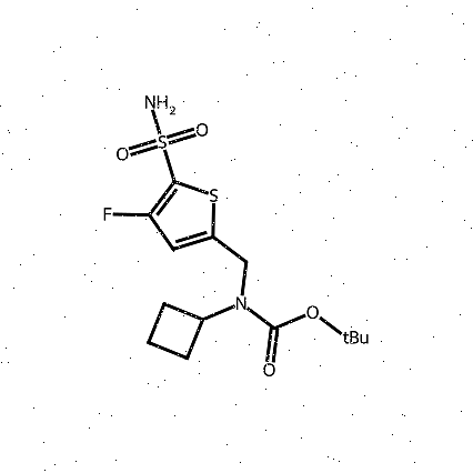 CC(C)(C)OC(=O)N(Cc1cc(F)c(S(N)(=O)=O)s1)C1CCC1